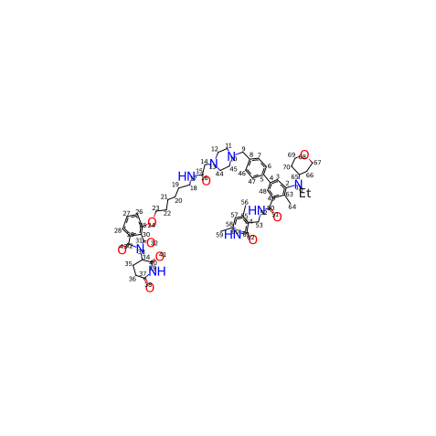 CCN(c1cc(-c2ccc(CN3CCN(CC(=O)NCCCCCCOc4cccc5c4C(=O)N(C4CCC(=O)NC4=O)C5=O)CC3)cc2)cc(C(=O)NCc2c(C)cc(C)[nH]c2=O)c1C)C1CCOCC1